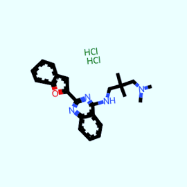 CN(C)CC(C)(C)CNc1nc(-c2cc3ccccc3o2)nc2ccccc12.Cl.Cl